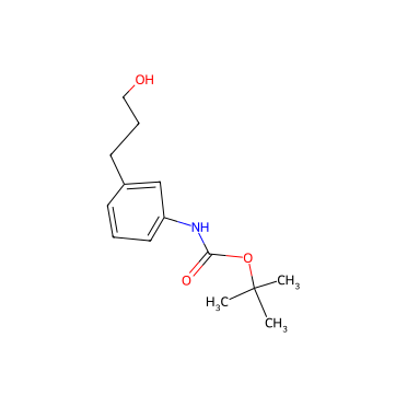 CC(C)(C)OC(=O)Nc1cccc(CCCO)c1